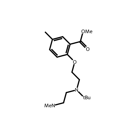 CNCCN(CCOc1ccc(C)cc1C(=O)OC)C(C)(C)C